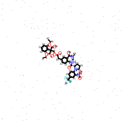 CCOC(=O)C(COC(=O)Cc1ccc(NC(=O)[C@@H]2CCCN2c2ccc(C(F)(F)F)cc2[N+](=O)[O-])c(C(=O)N(C)C)c1)(C(=O)OCC)c1ccccc1